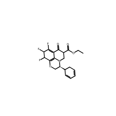 CCOC(=O)C1CN2C3=C(OC[C@@H]2C2C=CC=CC2)C(F)C(F)C(F)=C3C1=O